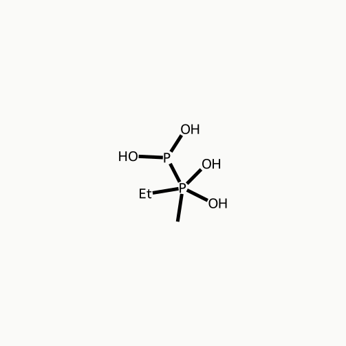 CCP(C)(O)(O)P(O)O